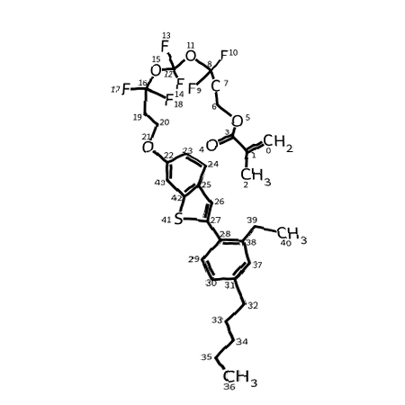 C=C(C)C(=O)OCCC(F)(F)OC(F)(F)OC(F)(F)CCOc1ccc2cc(-c3ccc(CCCCC)cc3CC)sc2c1